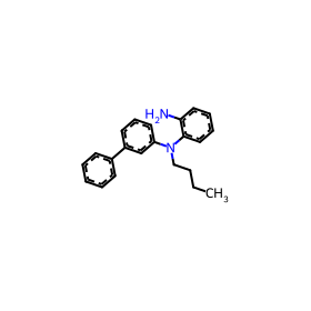 CCCCN(c1cccc(-c2ccccc2)c1)c1ccccc1N